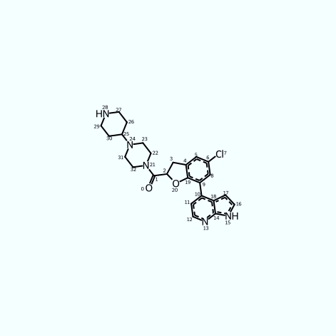 O=C(C1Cc2cc(Cl)cc(-c3ccnc4[nH]ccc34)c2O1)N1CCN(C2CCNCC2)CC1